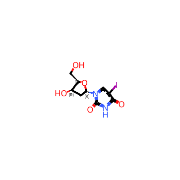 O=c1[nH]c(=O)n([C@H]2C[C@@H](O)[C@@H](CO)O2)cc1I